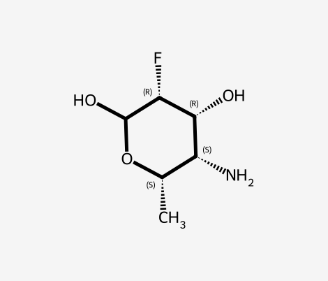 C[C@@H]1OC(O)[C@H](F)[C@H](O)[C@@H]1N